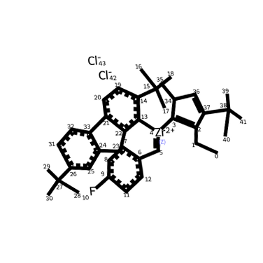 CCC1=[C](/[Zr+2](=[CH]/c2ccc(F)cc2)[c]2c(C(C)(C)C)ccc3c2Cc2cc(C(C)(C)C)ccc2-3)C(C)C=C1C(C)(C)C.[Cl-].[Cl-]